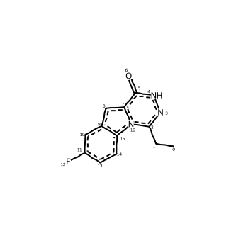 CCc1n[nH]c(=O)c2cc3cc(F)ccc3n12